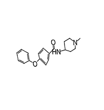 CN1CCC(NC(=O)c2ccc(Oc3ccccc3)cc2)CC1